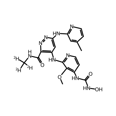 [2H]C([2H])([2H])NC(=O)c1nnc(Nc2cc(C)ccn2)cc1Nc1nccc(NC(=O)NO)c1OC